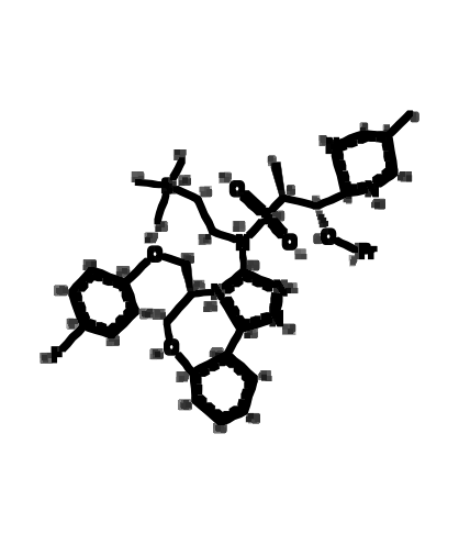 Cc1cnc([C@H](OC(C)C)[C@H](C)S(=O)(=O)N(CC[Si](C)(C)C)c2nnc3n2[C@H](COc2ccc(F)cc2)COc2ccccc2-3)nc1